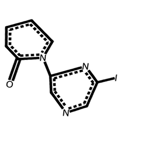 O=c1ccccn1-c1cncc(I)n1